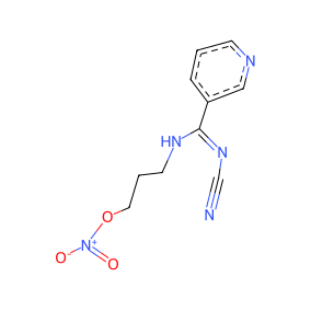 N#CN=C(NCCCO[N+](=O)[O-])c1cccnc1